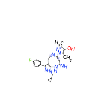 Cc1nn(C2=C/C(=N)Nc3c(c(-c4ccc(F)cc4)nn3CC3CC3)C/C=N\2)c(C)c1O